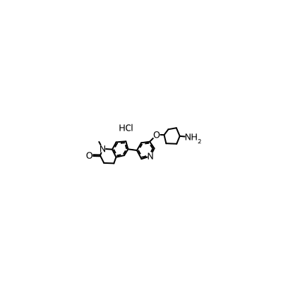 CN1C(=O)CCc2cc(-c3cncc(OC4CCC(N)CC4)c3)ccc21.Cl